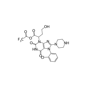 O=C(OC(=O)C(F)(F)F)C(CCO)n1c(=O)[nH]c(=O)c2c1nc(N1CCNCC1)n2-c1ccccc1Cl